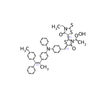 C=C(OO)n1c(=O)/c(=C/c2ccc(N(c3ccccc3)c3ccc(/C(C)=C(/c4ccccc4)c4ccc(C)cc4)cc3)cc2)s/c1=C1/SC(=S)N(CC)C1=O